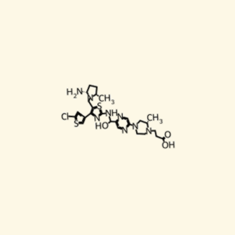 C[C@@H]1CC[C@@H](N)N1Cc1sc(NC(O)c2cnc(N3CCN(CCC(=O)O)[C@@H](C)C3)cn2)nc1-c1csc(Cl)c1